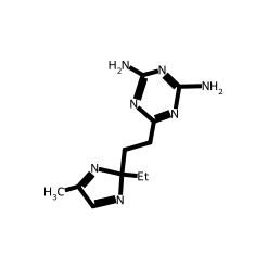 CCC1(CCc2nc(N)nc(N)n2)N=CC(C)=N1